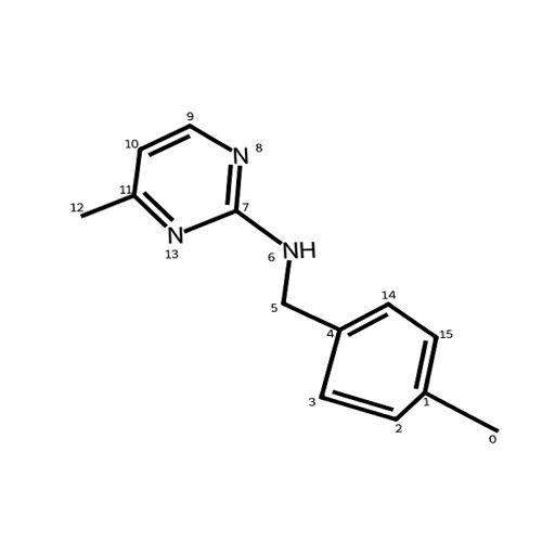 Cc1ccc(CNc2nccc(C)n2)cc1